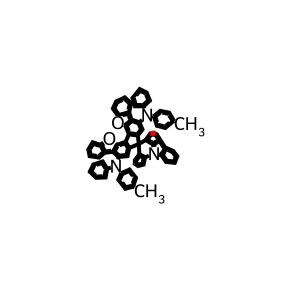 Cc1ccc(N(c2ccccc2)c2cc3c(c4oc5ccccc5c24)-c2c(cc(N(c4ccccc4)c4ccc(C)cc4)c4c2oc2ccccc24)C32c3ccccc3-n3c4ccccc4c4cccc2c43)cc1